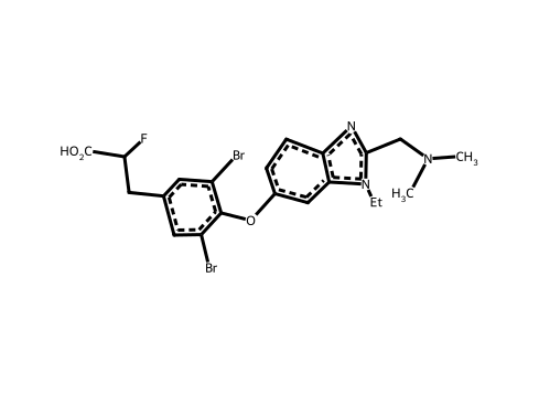 CCn1c(CN(C)C)nc2ccc(Oc3c(Br)cc(CC(F)C(=O)O)cc3Br)cc21